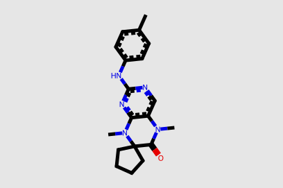 Cc1ccc(Nc2ncc3c(n2)N(C)C2(CCCC2)C(=O)N3C)cc1